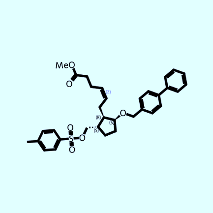 COC(=O)CC/C=C\C[C@@H]1[C@@H](COS(=O)(=O)c2ccc(C)cc2)CC[C@@H]1OCc1ccc(-c2ccccc2)cc1